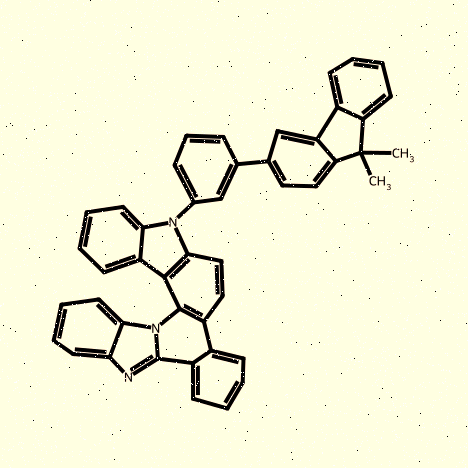 CC1(C)c2ccccc2-c2cc(-c3cccc(-n4c5ccccc5c5c4ccc4c6ccccc6c6nc7ccccc7n6c45)c3)ccc21